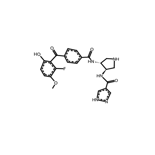 COc1ccc(O)c(C(=O)c2ccc(C(=O)N[C@@H]3CNC[C@H]3NC(=O)c3cn[nH]c3)cc2)c1F